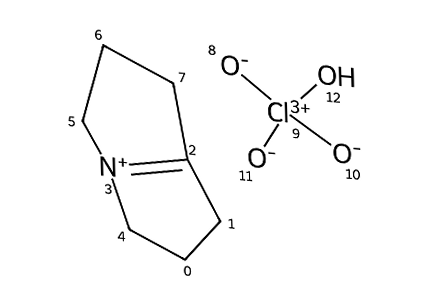 C1CC2=[N+](C1)CCC2.[O-][Cl+3]([O-])([O-])O